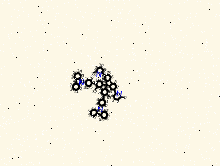 Cc1cccc(-c2ccc3c(c2)C(c2ccc(-c4ccc(-n5c6ccccc6c6ccccc65)cc4)c(C)c2)(c2ccc(-c4ccc(-n5c6ccccc6c6ccccc65)cc4)c(C)c2)c2cc(-c4cccc(C)n4)ccc2-3)n1